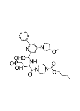 CCCCOC(=O)N1CCN(C(=O)[C@@H](CCP(=O)(O)O)NC(=O)c2cc(N3CC[C@H](OC)C3)cc(-c3ccccc3)n2)CC1